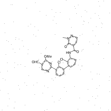 COc1nc(-c2cccc(-c3cccc(NC(=O)c4ccnn(C)c4=O)c3Cl)c2Cl)ncc1C=O